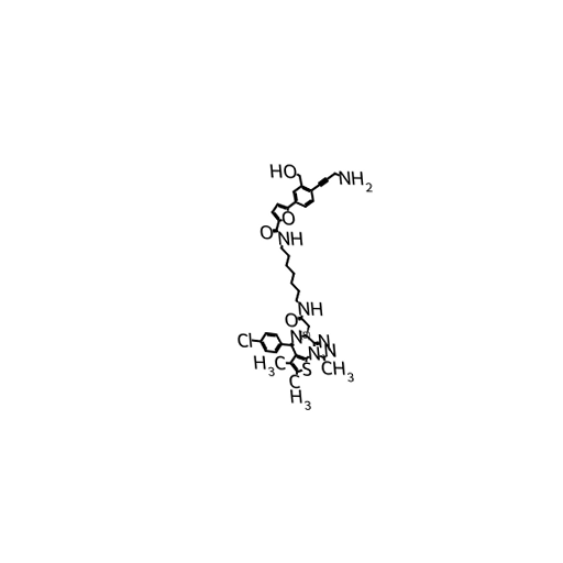 Cc1sc2c(c1C)C(c1ccc(Cl)cc1)=N[C@@H](CC(=O)NCCCCCCCNC(=O)c1ccc(-c3ccc(C#CCN)c(CO)c3)o1)c1nnc(C)n1-2